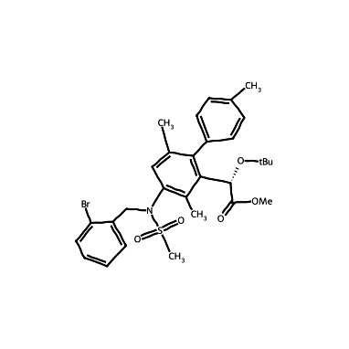 COC(=O)[C@@H](OC(C)(C)C)c1c(C)c(N(Cc2ccccc2Br)S(C)(=O)=O)cc(C)c1-c1ccc(C)cc1